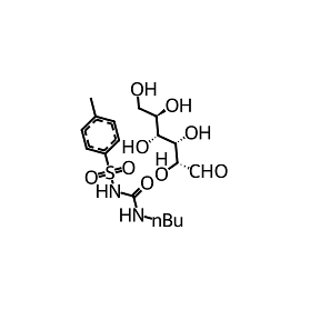 CCCCNC(=O)NS(=O)(=O)c1ccc(C)cc1.O=C[C@H](O)[C@@H](O)[C@H](O)[C@H](O)CO